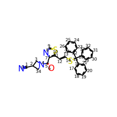 N#CC1CN(C(=O)c2ncsc2C=CSC(c2ccccc2)(c2ccccc2)c2ccccc2)C1